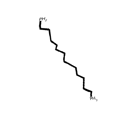 PCCCCCCCCCCCCP